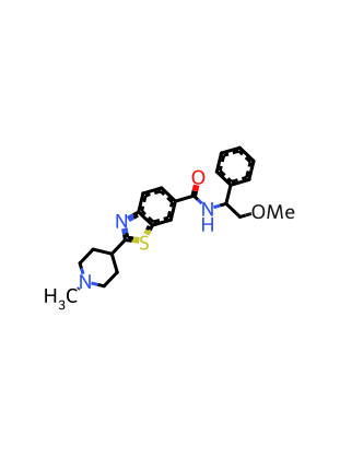 COCC(NC(=O)c1ccc2nc(C3CCN(C)CC3)sc2c1)c1ccccc1